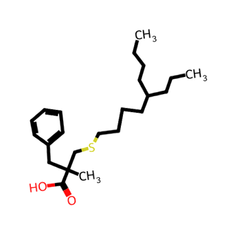 CCCCC(CCC)CCCCSCC(C)(Cc1ccccc1)C(=O)O